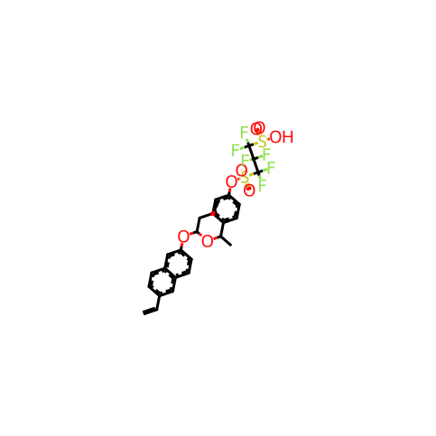 C=Cc1ccc2cc(OC(CCC)OC(C)c3ccc(OS(=O)(=O)C(F)(F)C(F)(F)C(F)(F)S(=O)(=O)O)cc3)ccc2c1